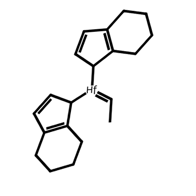 C[CH]=[Hf]([CH]1C=CC2=C1CCCC2)[CH]1C=CC2=C1CCCC2